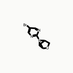 Brc1cnc(N2CC3CC2CO3)nc1